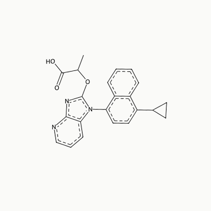 CC(Oc1nc2ncccc2n1-c1ccc(C2CC2)c2ccccc12)C(=O)O